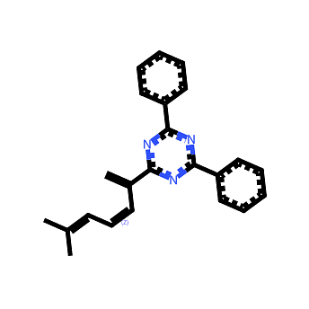 C=C(/C=C\C=C(C)C)c1nc(-c2ccccc2)nc(-c2ccccc2)n1